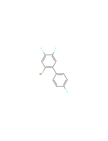 Fc1ccc(-c2cc(F)c(F)cc2Br)cc1